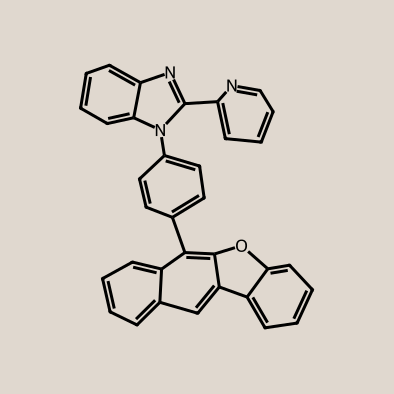 c1ccc(-c2nc3ccccc3n2-c2ccc(-c3c4ccccc4cc4c3oc3ccccc34)cc2)nc1